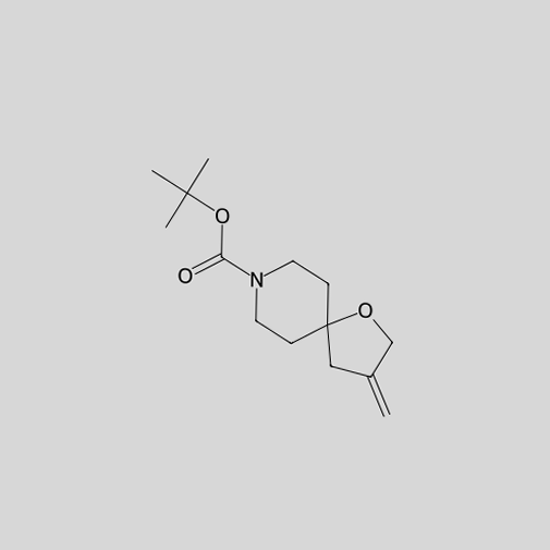 C=C1COC2(CCN(C(=O)OC(C)(C)C)CC2)C1